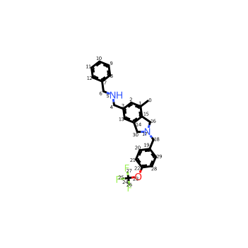 Cc1cc(CNCc2ccccc2)cc2c1CN(Cc1ccc(OC(F)(F)F)cc1)C2